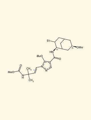 CCC1CC2CC(C[C@H](OC)C2)[C@H]1NC(=O)c1cnn(/C=C/C(C)(C)NC(=O)OC)c1OCC(C)C